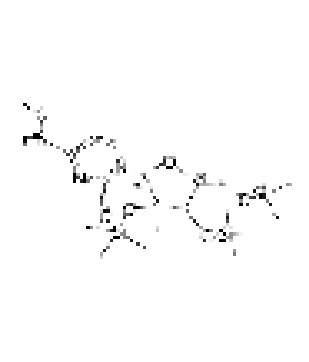 CONc1ccn([C@@H]2O[C@H](CO[Si](C)(C)C)C(O[Si](C)(C)C)C2(C)O[Si](C)(C)C)c(=O)n1